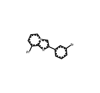 CC(C)c1cccn2cc(-c3cccc(Br)c3)nc12